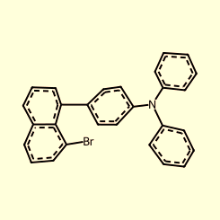 Brc1cccc2cccc(-c3ccc(N(c4ccccc4)c4ccccc4)cc3)c12